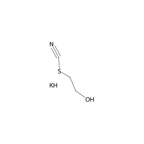 N#CSCCO.[KH]